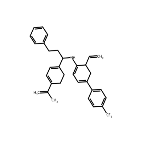 C=CC1CC(c2ccc(C(F)(F)F)cc2)=CC=C1NC(CCc1ccccc1)C1=CC=C(C(=C)C)CC1